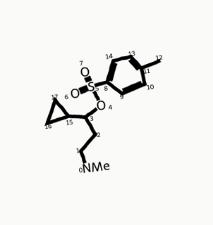 CNCCC(OS(=O)(=O)c1ccc(C)cc1)C1CC1